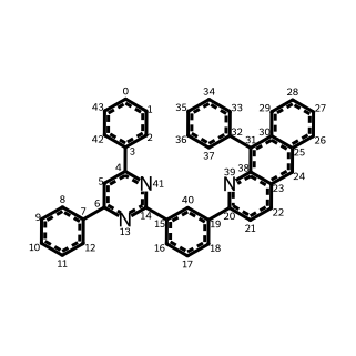 c1ccc(-c2cc(-c3ccccc3)nc(-c3cccc(-c4ccc5cc6ccccc6c(-c6ccccc6)c5n4)c3)n2)cc1